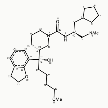 CNC[C@H](CC1CCCC1)NC(=O)N1CCC[C@@H]([C@@](O)(CCCCOC)c2cccc3c2OCC3)C1